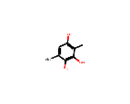 CCCCc1cc(O)c(C)c(O)c1O